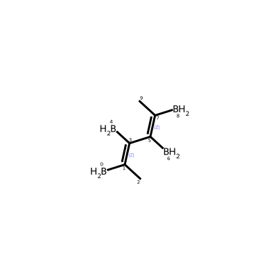 B/C(C)=C(B)/C(B)=C(/B)C